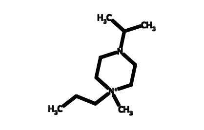 CCC[N+]1(C)CCN(C(C)C)CC1